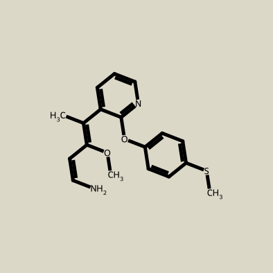 COC(/C=C\N)=C(/C)c1cccnc1Oc1ccc(SC)cc1